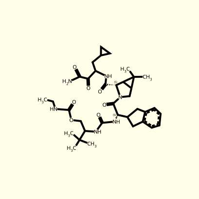 CCNC(=O)OCC(NC(=O)N[C@H](C(=O)N1CC2C([C@H]1C(=O)NC(CC1CC1)C(=O)C(N)=O)C2(C)C)C1Cc2ccccc2C1)C(C)(C)C